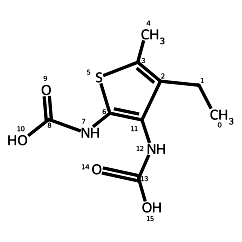 CCc1c(C)sc(NC(=O)O)c1NC(=O)O